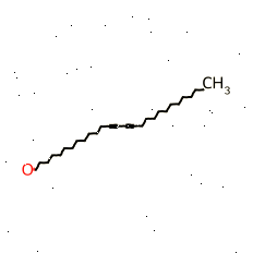 CCCCCCCCCCCCC#CC#CCCCCCCCCCCCC=O